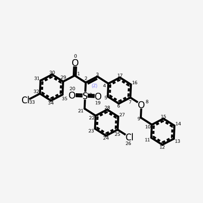 O=C(/C(=C/c1ccc(OCc2ccccc2)cc1)S(=O)(=O)Cc1ccc(Cl)cc1)c1ccc(Cl)cc1